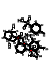 CNC(=O)c1cccc(C(=O)N2[C@@H]3CC[C@H]2C[C@H]([C@H](N)Cc2cc(F)c(F)cc2F)C3)c1.Cc1ccc(S(=O)(=O)O)cc1